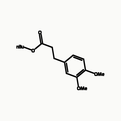 CCCCOC(=O)CCc1ccc(OC)c(OC)c1